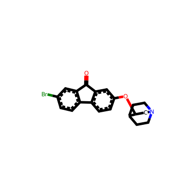 O=C1c2cc(Br)ccc2-c2ccc(OC3CN4CCC3CC4)cc21